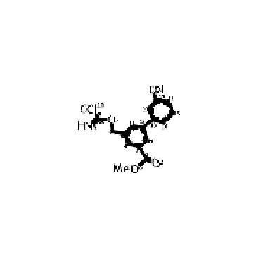 COC(=O)c1cc(COC(=N)C(Cl)(Cl)Cl)cc(-c2cccc(C#N)c2)c1